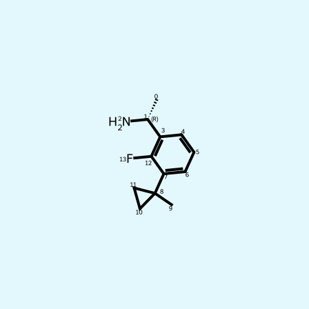 C[C@@H](N)c1cccc(C2(C)CC2)c1F